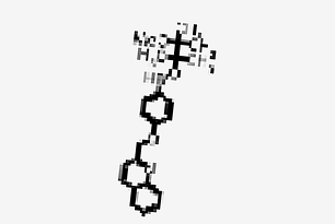 COC(C)(C)C(C)(C)OBc1ccc(OCc2ccc3ccccc3n2)cc1